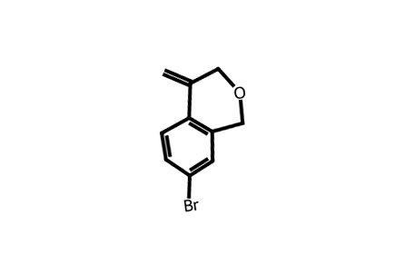 C=C1COCc2cc(Br)ccc21